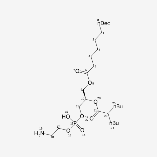 CCCCCCCCCCCCCCCC(=O)OC[C@H](COP(=O)(O)OCCN)OC(=O)C(CCCC)CCCC